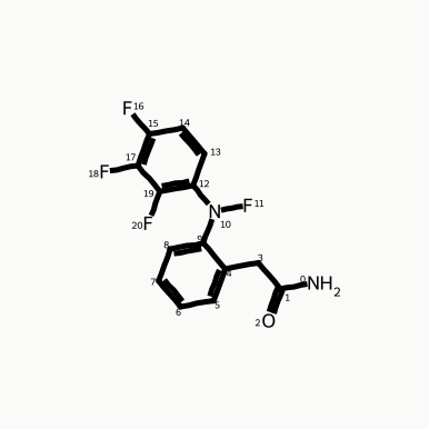 NC(=O)Cc1ccccc1N(F)c1ccc(F)c(F)c1F